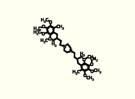 COc1c(C)c(CC(N)CCN2CCN(CCC(N)Cc3c(C)c(OC)c(OC)c(OC)c3OC)CC2)c(OC)c(OC)c1OC